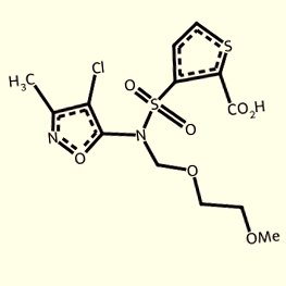 COCCOCN(c1onc(C)c1Cl)S(=O)(=O)c1ccsc1C(=O)O